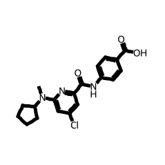 CN(c1cc(Cl)cc(C(=O)Nc2ccc(C(=O)O)cc2)n1)C1CCCC1